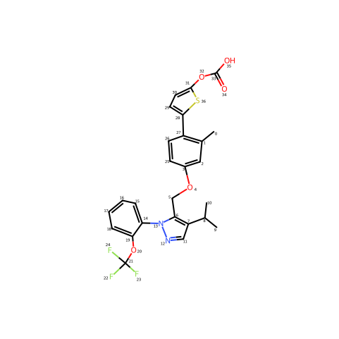 Cc1cc(OCc2c(C(C)C)cnn2-c2ccccc2OC(F)(F)F)ccc1-c1ccc(OC(=O)O)s1